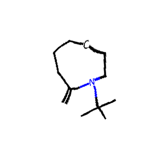 C=C1CCCCCCN1C(C)(C)C